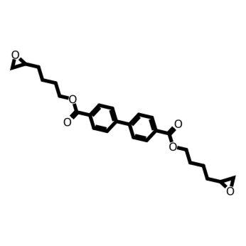 O=C(OCCCCC1CO1)c1ccc(-c2ccc(C(=O)OCCCCC3CO3)cc2)cc1